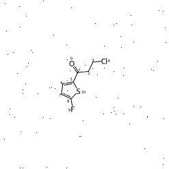 O=C(CCCl)c1ccc(F)s1